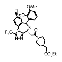 CCOC(=O)CC1CCN(C(=O)C[C@H]2S[C@H](c3cccc(OC)c3OC)c3cc(Cl)ccc3-n3c2nnc3C(F)(F)F)CC1